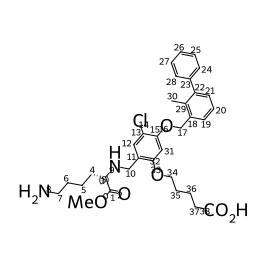 COC(=O)[C@H](CCCCN)NCc1cc(Cl)c(OCc2cccc(-c3ccccc3)c2C)cc1OCCCCC(=O)O